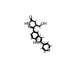 O=C1CC(CO)C(c2ccc3[nH]c(-c4ccncc4)cc3c2)=NN1